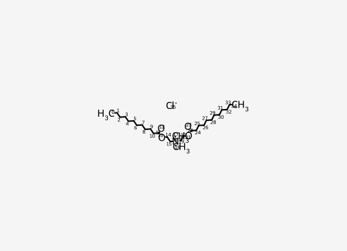 CCCCCCCCCCCC(=O)OCC[N+](C)(C)CCOC(=O)CCCCCCCCCCC.[Cl-]